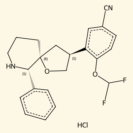 Cl.N#Cc1ccc(OC(F)F)c([C@H]2CO[C@]3(CCCN[C@H]3c3ccccc3)C2)c1